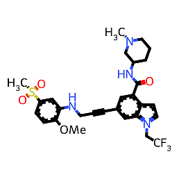 COc1ccc(S(C)(=O)=O)cc1NCC#Cc1cc(C(=O)NC2CCCN(C)C2)c2ccn(CC(F)(F)F)c2c1